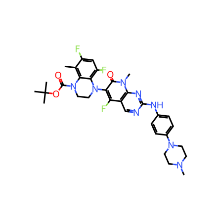 Cc1c(F)cc(F)c2c1N(C(=O)OC(C)(C)C)CCN2c1c(F)c2cnc(Nc3ccc(N4CCN(C)CC4)cc3)nc2n(C)c1=O